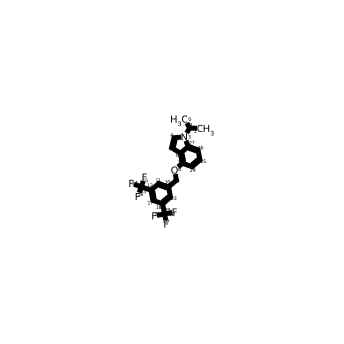 CC(C)n1ccc2c(OCc3cc(C(F)(F)F)cc(C(F)(F)F)c3)cccc21